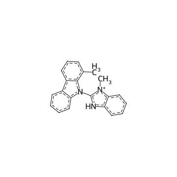 Cc1cccc2c3ccccc3n(-c3[nH]c4ccccc4[n+]3C)c12